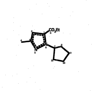 CCOC(=O)c1cc(C)nn1C1CCCC1